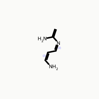 C=C(N)/N=C\C=C/N